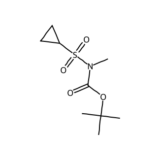 CN(C(=O)OC(C)(C)C)S(=O)(=O)C1CC1